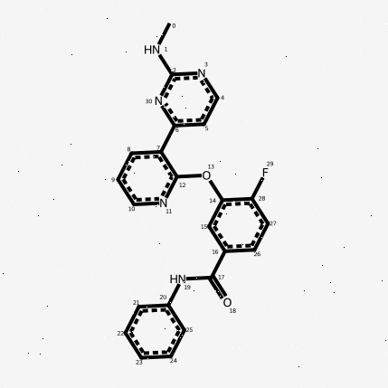 CNc1nccc(-c2cccnc2Oc2cc(C(=O)Nc3ccccc3)ccc2F)n1